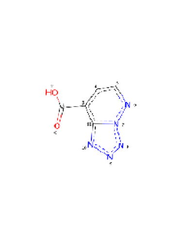 O=C(O)c1c[c]nn2nnnc12